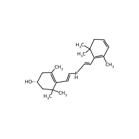 CC1=C(C=CPC=CC2=C(C)C[C@@H](O)CC2(C)C)C(C)(C)CC=C1